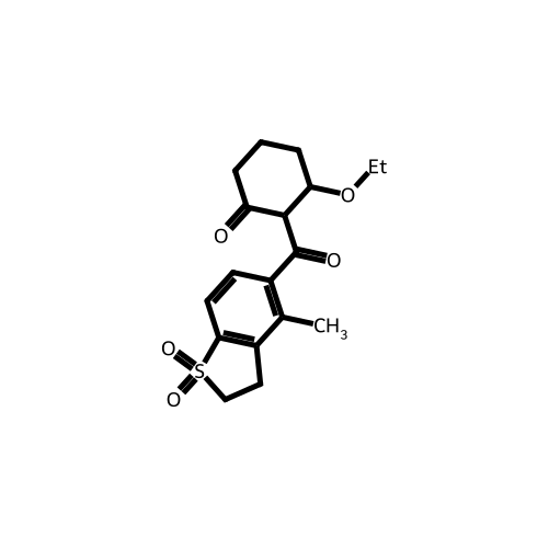 CCOC1CCCC(=O)C1C(=O)c1ccc2c(c1C)CCS2(=O)=O